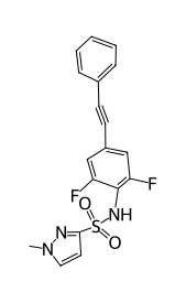 Cn1ccc(S(=O)(=O)Nc2c(F)cc(C#Cc3ccccc3)cc2F)n1